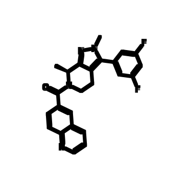 C[C@H]1c2nn(C)c(-c3cc(F)cc(F)c3)c2CCN1C(=O)c1ccc2ncccc2c1